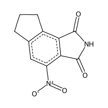 O=C1NC(=O)c2c3c(cc([N+](=O)[O-])c21)CCC3